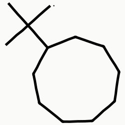 [CH2]C(C)(C)C1CCCCCCCC1